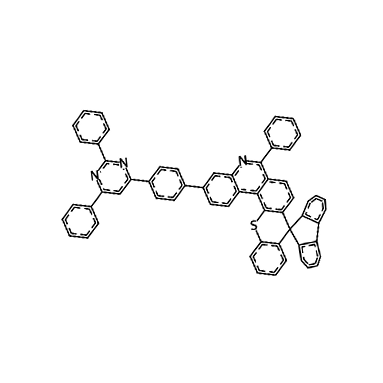 c1ccc(-c2cc(-c3ccc(-c4ccc5c(c4)nc(-c4ccccc4)c4ccc6c(c45)Sc4ccccc4C64c5ccccc5-c5ccccc54)cc3)nc(-c3ccccc3)n2)cc1